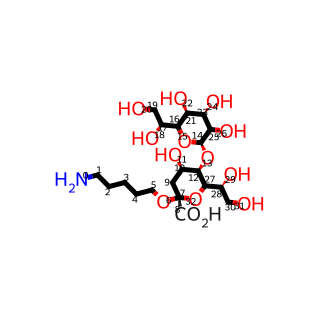 NCCCCCO[C@]1(C(=O)O)C[C@@H](O)[C@@H](O[C@H]2OC([C@@H](O)CO)[C@@H](O)[C@H](O)C2O)C([C@H](O)CO)O1